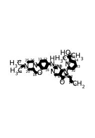 C=CCn1c(=O)c2cnc(Nc3ccc4c(c3)OCC3CN(C(C)C)CCN43)nc2n1-c1cccc(C(C)(C)O)n1